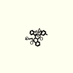 COCCN1C(=O)c2ccccc2C(C(=O)Nc2cc(C)ccc2OC)C1c1c[nH]c2ccccc12